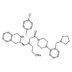 COCCN(C[C@H]1Cc2ccccc2CN1)[C@H](Cc1ccc(Cl)cc1)C(=O)N1CCN(c2ccccc2CN2CCCC2)CC1